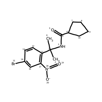 CC(C)(NC(=O)C1CCCC1)c1ccc(Br)cc1[N+](=O)[O-]